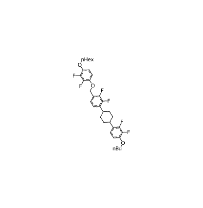 CCCCCCOc1ccc(OCc2ccc(C3CCC(c4ccc(OCCCC)c(F)c4F)CC3)c(F)c2F)c(F)c1F